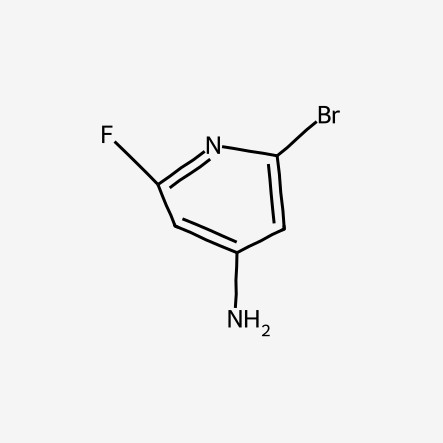 Nc1cc(F)nc(Br)c1